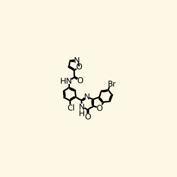 O=C(Nc1ccc(Cl)c(-c2nc3c(oc4ccc(Br)cc43)c(=O)[nH]2)c1)c1ccno1